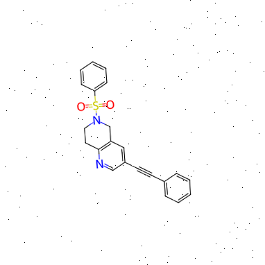 O=S(=O)(c1ccccc1)N1CCc2ncc(C#Cc3ccccc3)cc2C1